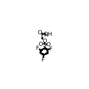 O=[PH](O)COS(=O)(=O)c1c(F)cc(F)cc1F